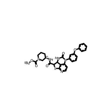 CC(C)(C)OC(=O)N1CCC[C@@H](NC(=O)C2Sc3nccc4c3C2NC(=O)N4c2cccc(Oc3ccccc3)c2)C1